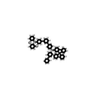 c1ccc(-c2ccc(N(c3ccc(-c4cccc(-c5ccc6c(c5)Oc5cccc7c5N6c5ccccc5O7)c4)cc3)c3ccc4c(c3)C(c3ccccc3)(c3ccccc3)c3ccccc3-4)cc2)cc1